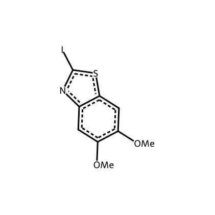 COc1cc2nc(I)sc2cc1OC